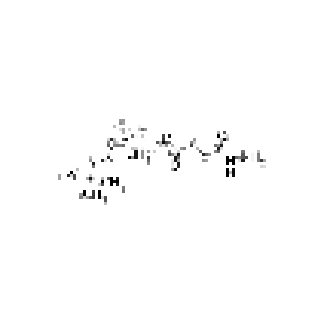 CCCC(C)(C)CCOC(C)(CC)CCOC(=O)CCC(=O)NN